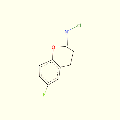 Fc1ccc2c(c1)CCC(=NCl)O2